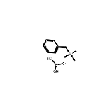 C[P+](C)(C)Cc1ccccc1.[O-]P(O)O